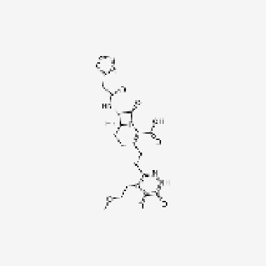 COCCn1c(SCC2=C(C(=O)O)N3C(=O)[C@@H](NC(=O)Cc4cccs4)[C@@H]3SC2)n[nH]c(=O)c1=O